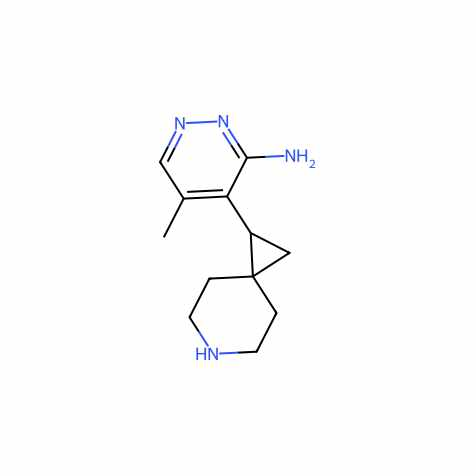 Cc1cnnc(N)c1C1CC12CCNCC2